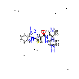 Nc1c2ccccc2nn1-c1nc(C(=O)Nc2cnccc2N2CCNCC2)cs1